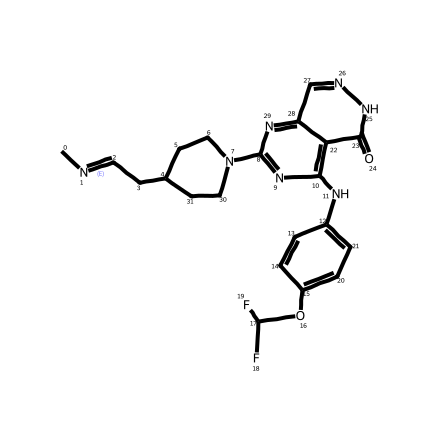 C/N=C/CC1CCN(c2nc(Nc3ccc(OC(F)F)cc3)c3c(=O)[nH]ncc3n2)CC1